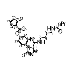 CCCC(=O)NCCCCNc1nc2cc(OC(=O)c3sccc3C)ccc2n2c(C)nnc12